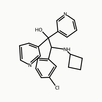 OC(c1cccnc1)(c1cccnc1)C(NC1CCC1)c1cccc(Cl)c1